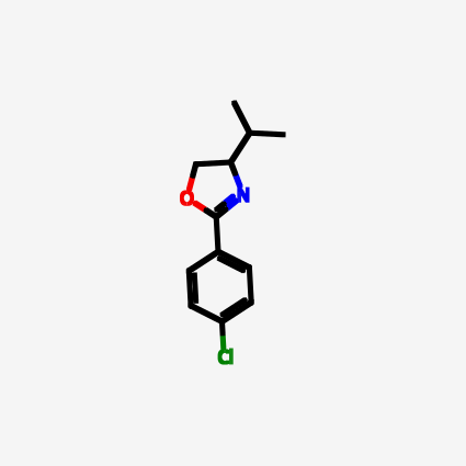 CC(C)C1COC(c2ccc(Cl)cc2)=N1